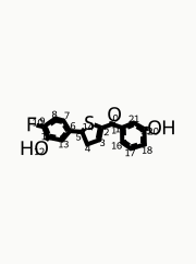 O=C(C1=CCC(c2ccc(F)c(O)c2)S1)c1cccc(O)c1